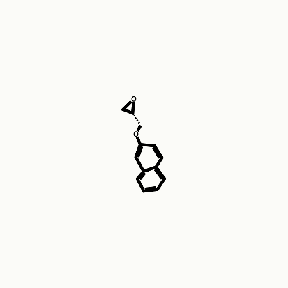 c1ccc2cc(OC[C@@H]3CO3)ccc2c1